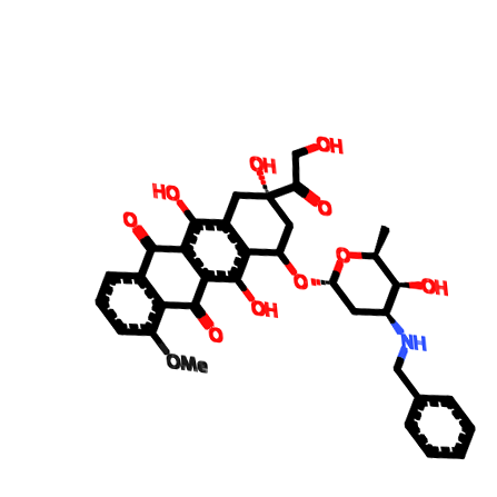 COc1cccc2c1C(=O)c1c(O)c3c(c(O)c1C2=O)C[C@@](O)(C(=O)CO)CC3O[C@H]1C[C@H](NCc2ccccc2)[C@H](O)[C@H](C)O1